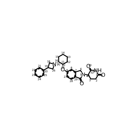 O=C1CC[C@@H](N2Cc3cc(O[C@H]4CCCC[C@H]4N4CC(c5ccccc5)C4)ccc3C2=O)C(=O)N1